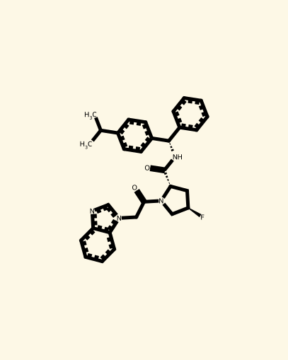 CC(C)c1ccc([C@@H](NC(=O)[C@@H]2C[C@@H](F)CN2C(=O)Cn2cnc3ccccc32)c2ccccc2)cc1